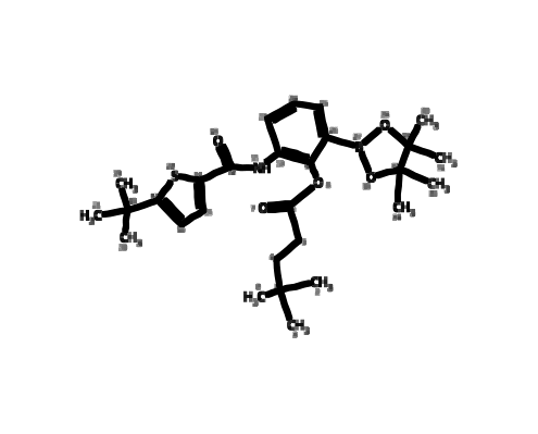 CC(C)(C)CCC(=O)Oc1c(NC(=O)c2ccc(C(C)(C)C)s2)cccc1B1OC(C)(C)C(C)(C)O1